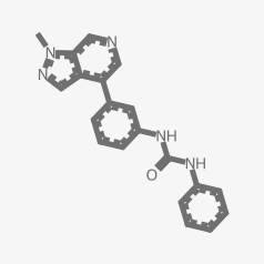 Cn1ncc2c(-c3cccc(NC(=O)Nc4ccccc4)c3)cncc21